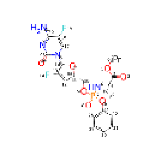 CC(C)OC(=O)[C@H](C)NP(=O)(OC[C@@H]1C=C(F)[C@H](n2cc(F)c(N)nc2=O)O1)Oc1ccccc1